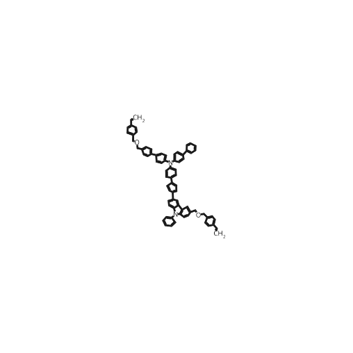 C=Cc1ccc(COCc2ccc(-c3ccc(N(c4ccc(-c5ccccc5)cc4)c4ccc(-c5ccc(-c6ccc7c(c6)c6cc(COCc8ccc(C=C)cc8)ccc6n7-c6ccccc6)cc5)cc4)cc3)cc2)cc1